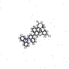 CC1=CC(C)=C(B(c2c(C)cc(C)cc2C)c2ccc(-c3ccc(-n4c5ccccc5c5ccccc54)c4ccccc34)c3ccccc23)C#CC1